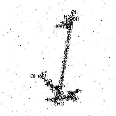 C/C=C\C(=O)N(C=O)CCCCCC(=O)NCC(=O)NCC(=O)NC(CNC(=O)CCOCCOCCOCCOCCOCCOCCOCCOCCOCCOCCOCCOCCN(CC(O)C(O)C(O)CCO)CC(O)C(O)C(O)CCO)C(=O)Nc1cc(COC(=O)Nc2nc3ccccc3c3c2ncn3CC(C)C)ccc1OC1CC(O)CC(C=O)O1